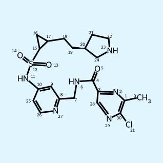 Cc1nc(C(=O)NCc2cc(NS(=O)(=O)C3CC3CC[C@H]3CCNC3)ccn2)cnc1Cl